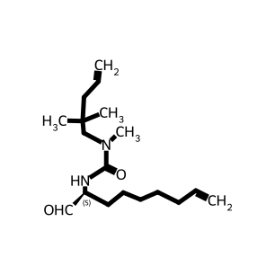 C=CCCCCC[C@@H](C=O)NC(=O)N(C)CC(C)(C)CC=C